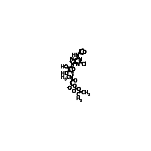 CC(C)OC(=O)OC([O])CC(=O)N(C)C[C@H]1O[C@@H](n2cnc3c(N[C@H]4CCOC4)nc(Cl)nc32)[C@H](O)[C@@H]1O